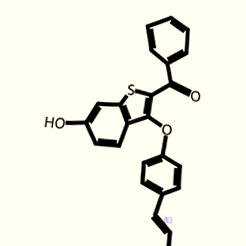 C/C=C/c1ccc(Oc2c(C(=O)c3ccccc3)sc3cc(O)ccc23)cc1